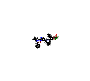 C=C1CC2(CCCC2)CC/C(c2ccc(OS(=O)(=O)C(F)(F)F)c3c2CC2(CCCC2)C3)=C\C=C/1c1ccc2nc([C@@H]3CC4(CC4)CN3C(=O)Cc3ccccc3)[nH]c2c1